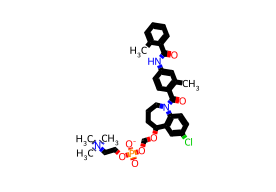 Cc1ccccc1C(=O)Nc1ccc(C(=O)N2CCCC(OCOP(=O)([O-])OCC[N+](C)(C)C)c3cc(Cl)ccc32)c(C)c1